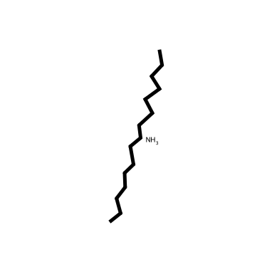 CCCCCCCCCCCCCCC.N